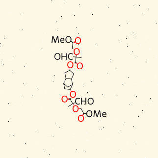 COC(=O)COC(C)(C=O)C(=O)OC1CC2C3CC(OC(=O)C(C)(C=O)OCC(=O)OC)C(C3)C2C1